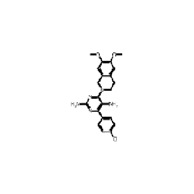 COc1cc2c(cc1OC)CN(c1nc(N)nc(-c3ccc(Cl)cc3)c1N)CC2